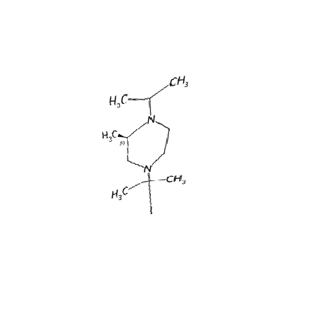 CC(C)N1CCN(C(C)(C)I)C[C@H]1C